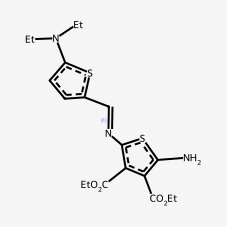 CCOC(=O)c1c(N)sc(/N=C/c2ccc(N(CC)CC)s2)c1C(=O)OCC